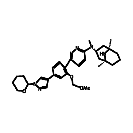 COCOc1cc(-c2cnn(C3CCCCO3)c2)ccc1-c1ccc(N(C)[C@H]2C[C@]3(C)CCC[C@](C)(C2)N3)nn1